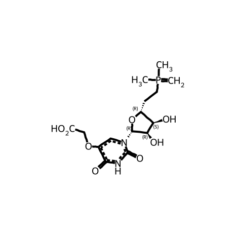 C=P(C)(C)CC[C@H]1O[C@@H](n2cc(OCC(=O)O)c(=O)[nH]c2=O)[C@H](O)[C@@H]1O